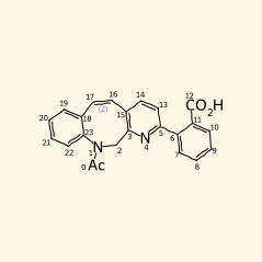 CC(=O)N1Cc2nc(-c3ccccc3C(=O)O)ccc2/C=C\c2ccccc21